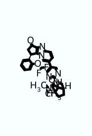 CN(C)C(=O)[C@H]1[C@@H]2CC[C@H]1CN(c1ncc(-c3ccc4nc5c(n4c3)[C@@H](c3ccccc3OC(F)F)CC5=O)cn1)C2